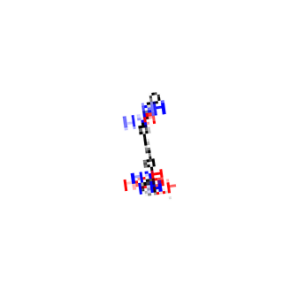 C[C@@H](O)[C@H](NC(=O)c1ccc(C#CC#Cc2ccc(NC(=O)CNCC3CCCCC3)cc2)cc1)C(=O)NO